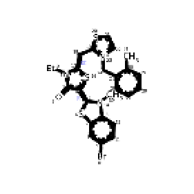 CCn1c(=O)/c(=C2\Sc3cc(Br)ccc3N2C)s/c1=C\c1scc[n+]1Cc1ccccc1C